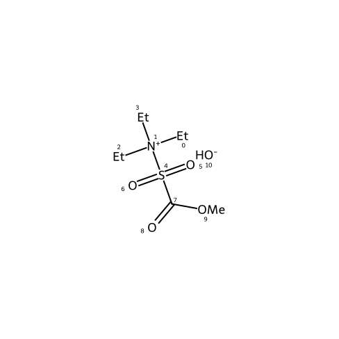 CC[N+](CC)(CC)S(=O)(=O)C(=O)OC.[OH-]